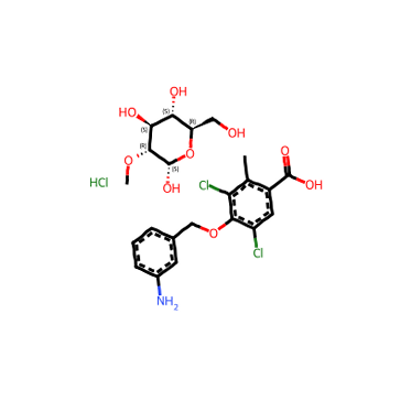 CO[C@@H]1[C@@H](O)[C@H](O)[C@@H](CO)O[C@@H]1O.Cc1c(C(=O)O)cc(Cl)c(OCc2cccc(N)c2)c1Cl.Cl